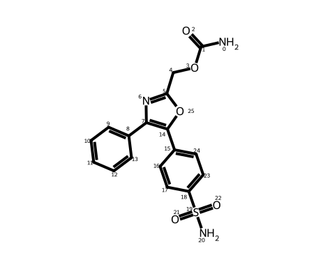 NC(=O)OCc1nc(-c2ccccc2)c(-c2ccc(S(N)(=O)=O)cc2)o1